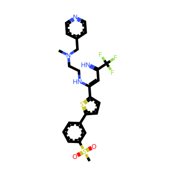 CN(CCN/C(=C\C(=N)C(F)(F)F)c1ccc(-c2cccc(S(C)(=O)=O)c2)s1)Cc1ccncc1